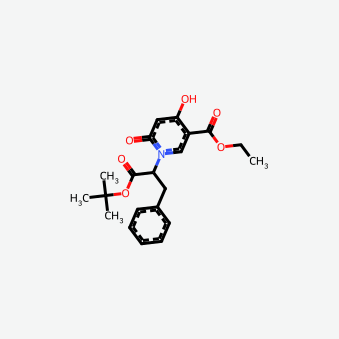 CCOC(=O)c1cn(C(Cc2ccccc2)C(=O)OC(C)(C)C)c(=O)cc1O